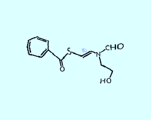 O=CN(/C=C/SC(=O)c1ccccc1)CCO